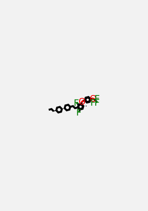 CCC[C@H]1CC[C@H](C2CCC(CCc3c(F)c[c]c(Oc4ccc(OC(F)(F)F)cc4)c3F)CC2)CC1